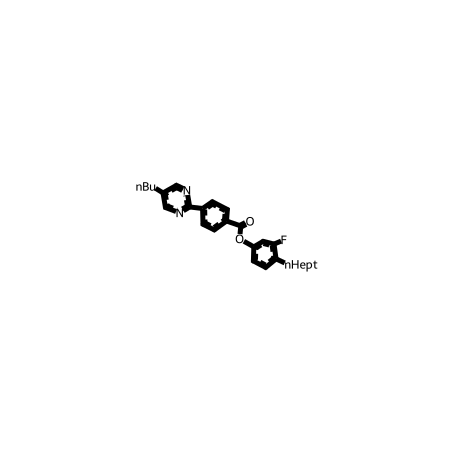 CCCCCCCc1ccc(OC(=O)c2ccc(-c3ncc(CCCC)cn3)cc2)cc1F